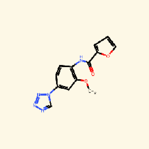 COc1cc(-n2cnnn2)ccc1NC(=O)c1ccco1